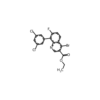 CCOC(=O)c1cnc2c(-c3cc(Cl)cc(Cl)c3)c(F)ccc2c1Br